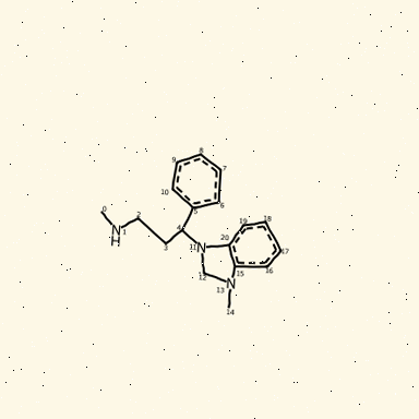 CNCCC(c1ccccc1)N1[CH]N(C)c2ccccc21